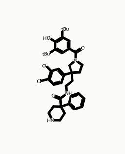 CC(C)(C)c1cc(C(=O)N2CCC(CCNC(=O)C3(c4ccccc4)CCNCC3)(c3ccc(Cl)c(Cl)c3)C2)cc(C(C)(C)C)c1O